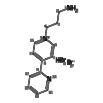 Br.NCCC[n+]1ccc(-c2ccccn2)cc1.[Br-]